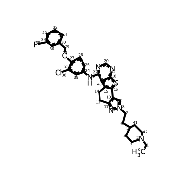 CCN1CCC(CCn2cc3c(n2)CCc2c-3sc3ncnc(Nc4ccc(OCc5cccc(F)c5)c(Cl)c4)c23)CC1